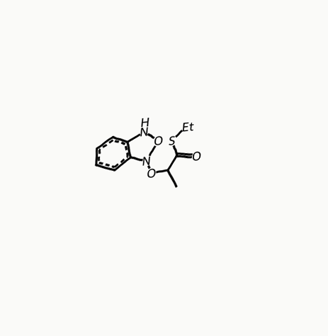 CCSC(=O)C(C)ON1ONc2ccccc21